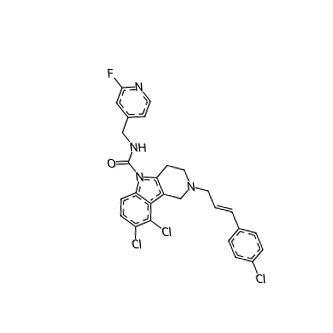 O=C(NCc1ccnc(F)c1)n1c2c(c3c(Cl)c(Cl)ccc31)CN(CC=Cc1ccc(Cl)cc1)CC2